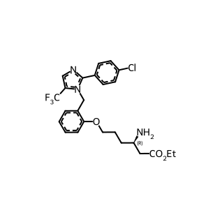 CCOC(=O)C[C@H](N)CCCOc1ccccc1Cn1c(C(F)(F)F)cnc1-c1ccc(Cl)cc1